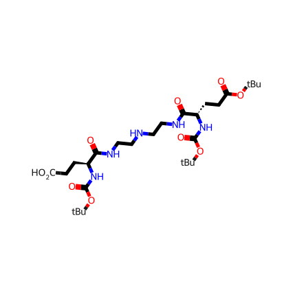 CC(C)(C)OC(=O)CC[C@H](NC(=O)OC(C)(C)C)C(=O)NCCNCCNC(=O)[C@H](CCC(=O)O)NC(=O)OC(C)(C)C